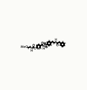 COCCNC(=O)Oc1ccc(C(=O)NS(=O)(=O)c2ccc(CCNC(=O)Cc3ccccc3)cc2)cn1